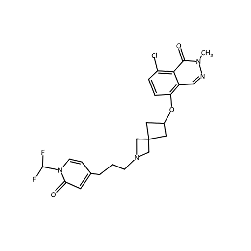 Cn1ncc2c(OC3CC4(C3)CN(CCCc3ccn(C(F)F)c(=O)c3)C4)ccc(Cl)c2c1=O